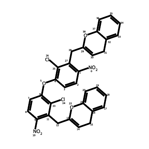 O=[N+]([O-])c1ccc(Oc2ccc([N+](=O)[O-])c(CC3=CCc4ccccc4O3)c2Cl)c(Cl)c1CC1=CCc2ccccc2O1